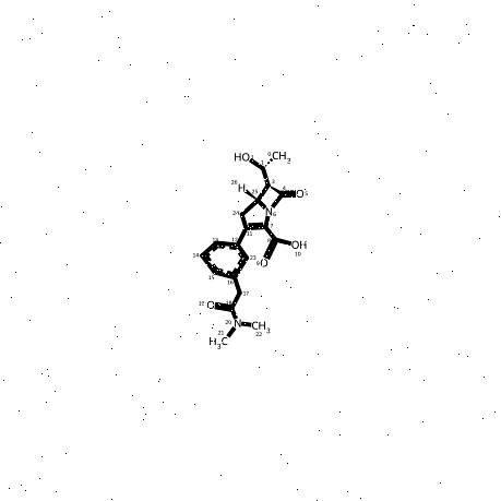 C[C@@H](O)[C@H]1C(=O)N2C(C(=O)O)=C(c3cccc(CC(=O)N(C)C)c3)C[C@H]12